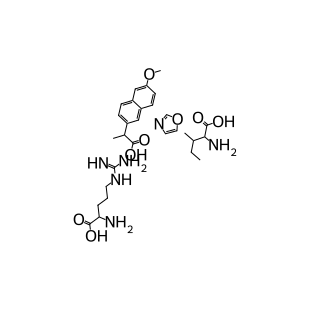 CCC(C)C(N)C(=O)O.COc1ccc2cc(C(C)C(=O)O)ccc2c1.N=C(N)NCCCC(N)C(=O)O.c1cocn1